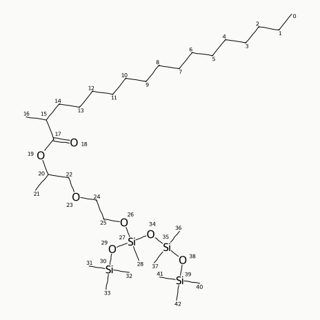 CCCCCCCCCCCCCCCC(C)C(=O)OC(C)COCCO[Si](C)(O[Si](C)(C)C)O[Si](C)(C)O[Si](C)(C)C